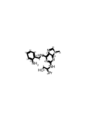 CC(C)C(CO)Nc1nc(NCc2ccccc2N)c2ncn(C)c2n1